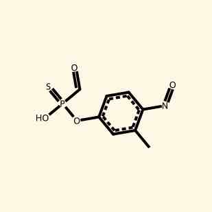 Cc1cc(OP(O)(=S)C=O)ccc1N=O